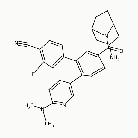 CN(C)c1ccc(-c2ccc(C(=O)N3C4CCC3CC(N)C4)cc2-c2ccc(C#N)c(F)c2)cn1